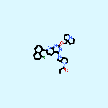 C=CC(=O)N1CCC2C1CN2c1nc(OCC23CCCN2CCC3)nc2nc(-c3cccc4cccc(Cl)c34)ccc12